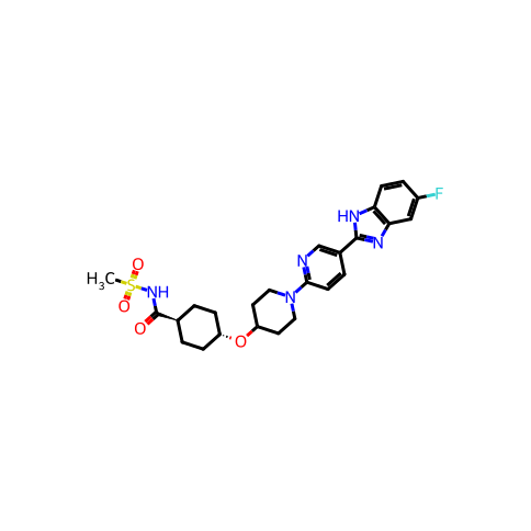 CS(=O)(=O)NC(=O)[C@H]1CC[C@H](OC2CCN(c3ccc(-c4nc5cc(F)ccc5[nH]4)cn3)CC2)CC1